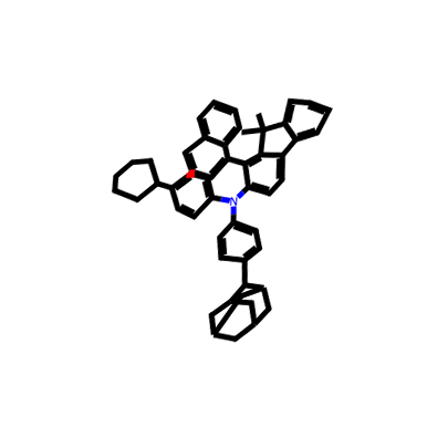 CC1(C)c2ccccc2-c2ccc(N(c3ccc(C4CCCCC4)cc3)c3ccc(C4C5CC6CC(C5)CC4C6)cc3)c(-c3cccc4ccccc34)c21